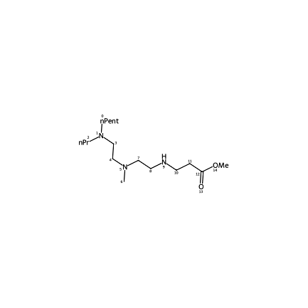 CCCCCN(CCC)CCN(C)CCNCCC(=O)OC